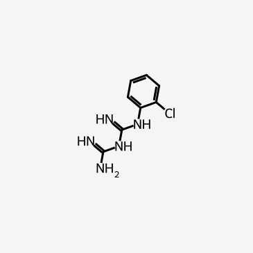 N=C(N)NC(=N)Nc1ccccc1Cl